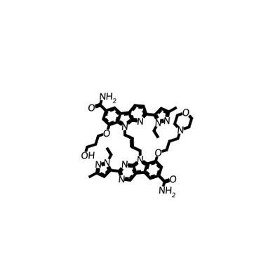 CCn1nc(C)cc1-c1ccc2c3cc(C(N)=O)cc(OCCCO)c3n(C/C=C/Cn3c4nc(-c5cc(C)nn5CC)ncc4c4cc(C(N)=O)cc(OCCCN5CCOCC5)c43)c2n1